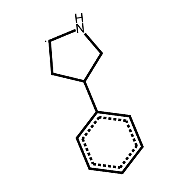 [CH]1CC(c2ccccc2)CN1